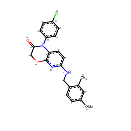 COc1ccc(CNc2ccc3c(n2)OCC(=O)N3c2ccc(Cl)cc2)c(C)c1